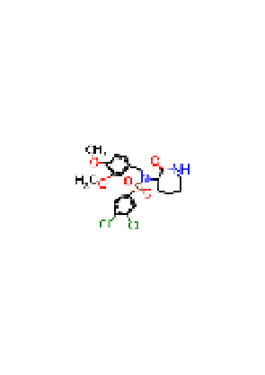 COc1ccc(CN(C2CCCCNC2=O)S(=O)(=O)c2ccc(Cl)c(Cl)c2)cc1OC